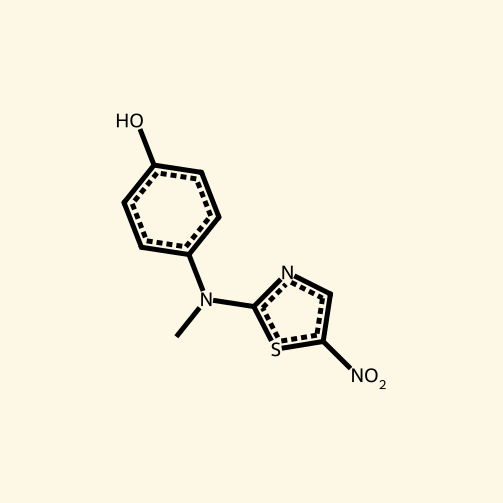 CN(c1ccc(O)cc1)c1ncc([N+](=O)[O-])s1